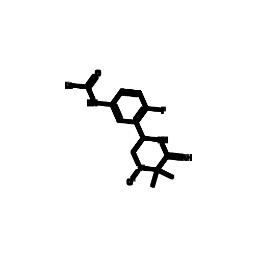 CCC(=O)Nc1ccc(F)c(C2C[S+]([O-])C(C)(C)C(=N)N2)c1